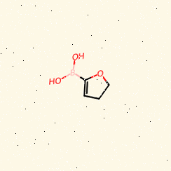 OB(O)C1=CCCO1